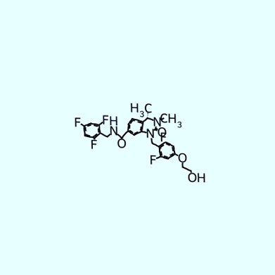 C[C@H]1c2ccc(C(=O)NCc3c(F)cc(F)cc3F)cc2N(Cc2c(F)cc(OCCO)cc2F)C(=O)N1C